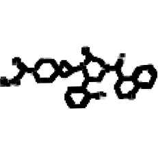 CC(C)c1ccccc1C1CN(C(=O)C2CCOc3ccccc32)CC(=O)N1C1CC2(CCN(C(=O)OC(C)(C)C)CC2)C1